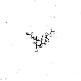 CCCOC(=O)Cc1c(Cl)cc(C)cc1OCCC